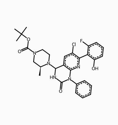 C[C@H]1CN(C(=O)OC(C)(C)C)CCN1C1NC(=O)N(c2ccccc2)c2nc(-c3c(O)cccc3F)c(Cl)cc21